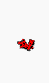 Cc1cccc(-c2cc(N(c3ccc(C(C)(C)C)cc3)c3cc4c(c5ccccc35)-c3ccc(N(c5ccc(C(C)(C)C)cc5)c5cc(-c6cccc([Si](c7ccccc7)(c7ccccc7)c7ccccc7)c6)cc6c5oc5ccccc56)cc3C4(c3ccccc3)c3ccccc3)c3oc4ccccc4c3c2)c1